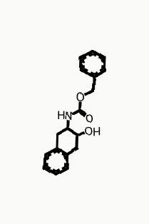 O=C(NC1Cc2ccccc2CC1O)OCc1ccccc1